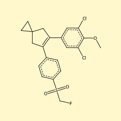 COc1c(Cl)cc(C2=C(c3ccc(S(=O)(=O)CF)cc3)CC3(CC3)C2)cc1Cl